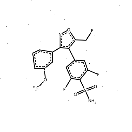 NS(=O)(=O)c1c(F)cc(-c2c(-c3cccc(OC(F)(F)F)c3)noc2CF)cc1F